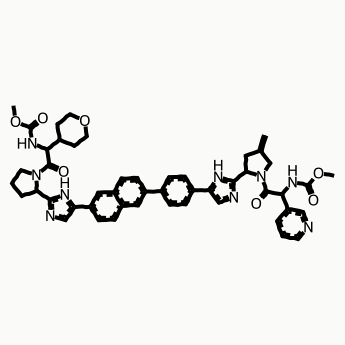 C=C1CC(c2ncc(-c3ccc(-c4ccc5cc(-c6cnc(C7CCCN7C(=O)C(NC(=O)OC)C7CCOCC7)[nH]6)ccc5c4)cc3)[nH]2)N(C(=O)C(NC(=O)OC)c2cccnc2)C1